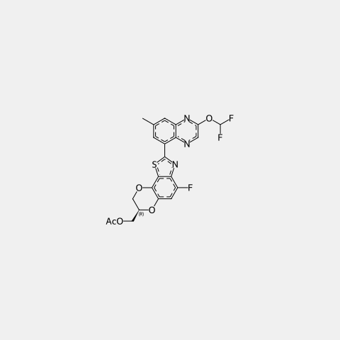 CC(=O)OC[C@H]1COc2c(cc(F)c3nc(-c4cc(C)cc5nc(OC(F)F)cnc45)sc23)O1